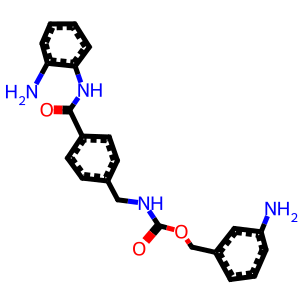 Nc1cccc(COC(=O)NCc2ccc(C(=O)Nc3ccccc3N)cc2)c1